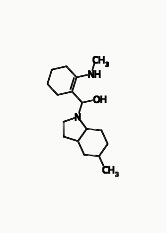 CNC1=C(C(O)N2CCC3CC(C)CCC32)CCCC1